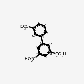 O=C(O)c1cc[c]c(-c2cc(C(=O)O)cc(C(=O)O)c2)c1